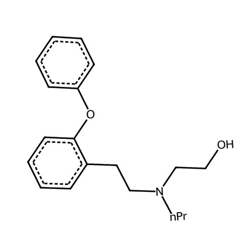 CCCN(CCO)CCc1ccccc1Oc1ccccc1